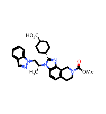 COC(=O)N1CCc2ccc3c(nc([C@H]4CC[C@H](C(=O)O)CC4)n3[C@H](C)Cn3ncc4ccccc43)c2C1